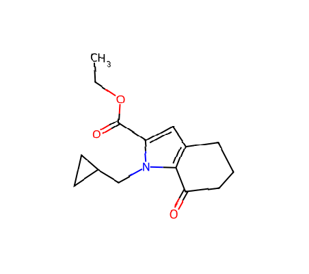 CCOC(=O)c1cc2c(n1CC1CC1)C(=O)CCC2